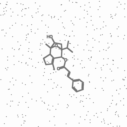 CC1=C2C(CC1)C1(C)OC(C(C)C)(CC1O)[C@H]2OC(=O)/C=C/c1ccccc1